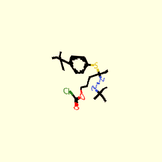 CC(C)(C)N=NC(C)(CCCOC(=O)Cl)Sc1ccc(C(C)(C)C)cc1